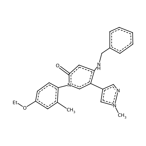 CCOc1ccc(-n2cc(-c3cnn(C)c3)c(NCc3ccccc3)cc2=O)c(C)c1